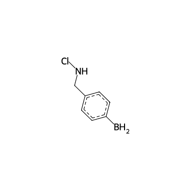 Bc1ccc(CNCl)cc1